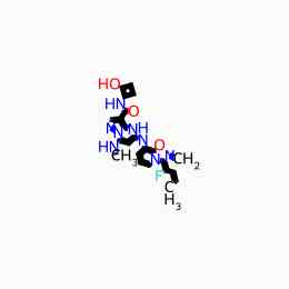 C=N/C(=C(F)\C=C/C)n1cccc(Nc2cc(NC)n3ncc(C(=O)N[C@@H]4CC[C@@H]4O)c3n2)c1=O